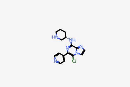 Clc1c(-c2ccncc2)nc(N[C@H]2CCCNC2)c2nccn12